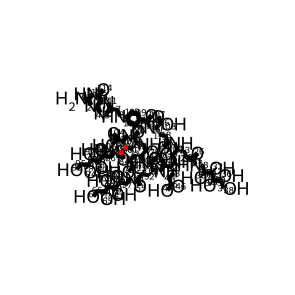 Nc1nc2ncc(CNc3ccc(C(=O)N[C@@H](CCC(=O)N[C@@H](CCC(=O)NC[C@H](O)[C@@H](O)[C@H](O)[C@H](O)CO)C(=O)N[C@@H](CCC(=O)O)C(=O)N[C@@H](CCC(=O)NC[C@H](O)[C@@H](O)[C@H](O)[C@H](O)CO)C(=O)N[C@@H](CCC(=O)O)C(=O)N[C@@H](CCC(=O)NC[C@H](O)[C@@H](O)[C@H](O)[C@H](O)CO)C(=O)N[C@@H](CS)C(=O)O)C(=O)O)cc3)nc2c(=O)[nH]1